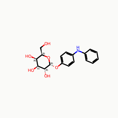 OC[C@H]1O[C@H](Oc2ccc(Nc3ccccc3)cc2)[C@H](O)[C@@H](O)[C@H]1O